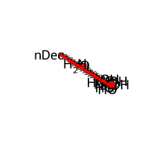 CCCCCCCCCCCCCCCCCCCCCCCC[C@@H](CCCCCCCCCCCCCCC(O)C(O)CCN[C@@H]1[C@H](O)[C@@H](O)[C@@H](O)[C@@H](CO)[C@H]1O)C(N)=O